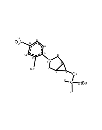 CC(C)(C)[Si](C)(C)OC1C2CN(c3ccc([N+](=O)[O-])cc3F)CC21